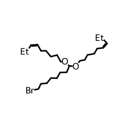 CC/C=C\CCCCCOC(CCCCCCCBr)OCCCCC/C=C\CC